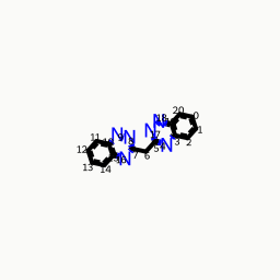 c1ccc2nc(Cc3nnc4ccccc4n3)nnc2c1